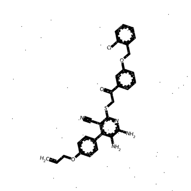 C=CCOc1ccc(-c2c(N)c(N)nc(SCC(=O)c3cccc(OCc4ccccc4Cl)c3)c2C#N)cc1